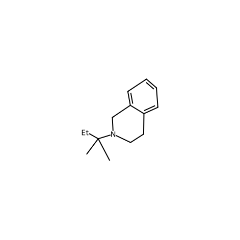 CCC(C)(C)N1CCc2ccccc2C1